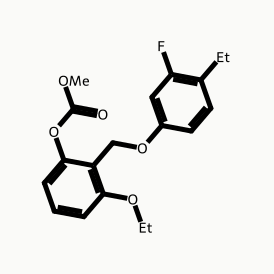 CCOc1cccc(OC(=O)OC)c1COc1ccc(CC)c(F)c1